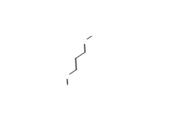 CCNCCCNCC.[Cl-].[Cl-].[Cu+2]